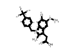 COc1cc2c(CC(=O)O)c(C)n(Cc3ccc(C(F)(F)F)cc3)c2cc1Cl